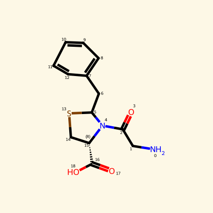 NCC(=O)N1C(Cc2ccccc2)SC[C@H]1C(=O)O